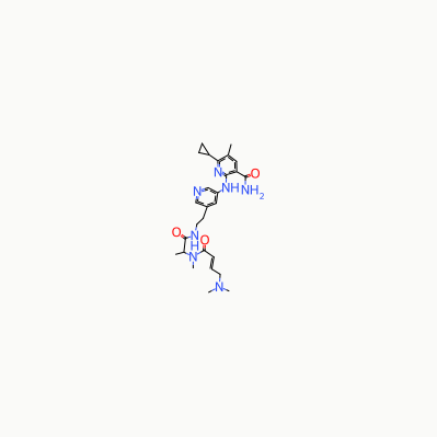 Cc1cc(C(N)=O)c(Nc2cncc(CCNC(=O)C(C)N(C)C(=O)/C=C/CN(C)C)c2)nc1C1CC1